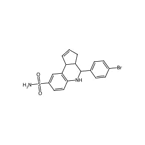 NS(=O)(=O)c1ccc2c(c1)C1C=CCC1C(c1ccc(Br)cc1)N2